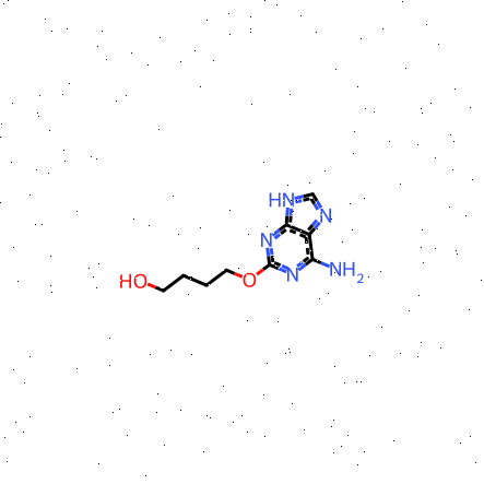 Nc1nc(OCCCCO)nc2[nH]cnc12